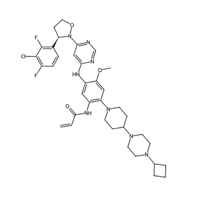 C=CC(=O)Nc1cc(Nc2cc(N3OCC[C@@H]3c3ccc(F)c(Cl)c3F)ncn2)c(OC)cc1N1CCC(N2CCN(C3CCC3)CC2)CC1